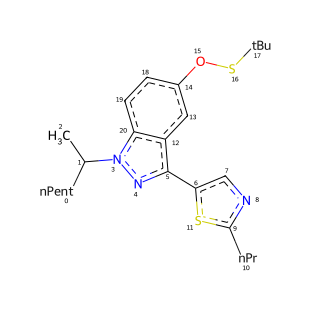 CCCCCC(C)n1nc(-c2cnc(CCC)s2)c2cc(OSC(C)(C)C)ccc21